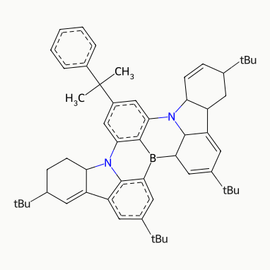 CC(C)(C)C1=CC2B3c4cc(C(C)(C)C)cc5c4N(c4cc(C(C)(C)c6ccccc6)cc(c43)N3C4C=CC(C(C)(C)C)CC4C(=C1)C23)C1CCC(C(C)(C)C)C=C51